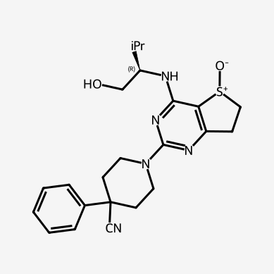 CC(C)[C@H](CO)Nc1nc(N2CCC(C#N)(c3ccccc3)CC2)nc2c1[S+]([O-])CC2